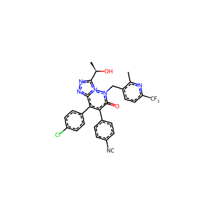 [C-]#[N+]c1ccc(-c2c(-c3ccc(Cl)cc3)c3nnc([C@@H](C)O)n3n(Cc3ccc(C(F)(F)F)nc3C)c2=O)cc1